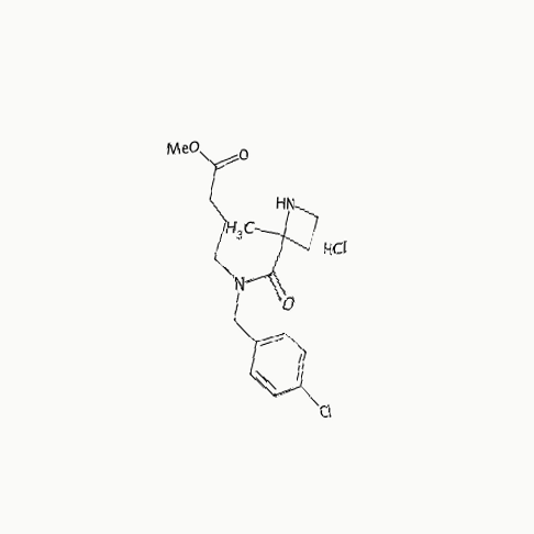 COC(=O)CCCN(Cc1ccc(Cl)cc1)C(=O)C1(C)CCN1.Cl